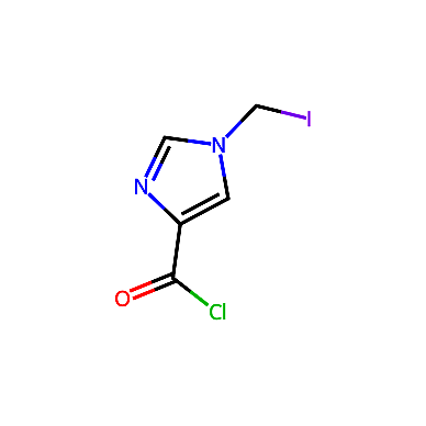 O=C(Cl)c1cn(CI)cn1